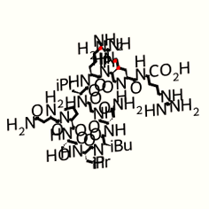 CC[C@H](C)[C@H](NC(=O)[C@H](CC(C)C)NC(=O)[C@H](CO)NC(=O)[C@@H]1CCCN1C(=O)[C@@H](N)CC(N)=O)C(=O)N[C@@H](CC(N)=O)C(=O)NCC(=O)N[C@@H](CC(C)C)C(=O)N[C@@H](CCCCN)C(=O)N[C@@H](CC(C)C)C(=O)N[C@@H](CCCNC(=N)N)C(=O)N[C@@H](CCCNC(=N)N)C(=O)O